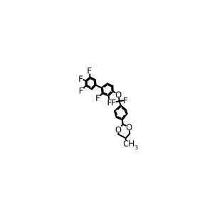 CC1COC(c2ccc(C(F)(F)Oc3ccc(-c4cc(F)c(F)c(F)c4)c(F)c3F)cc2)OC1